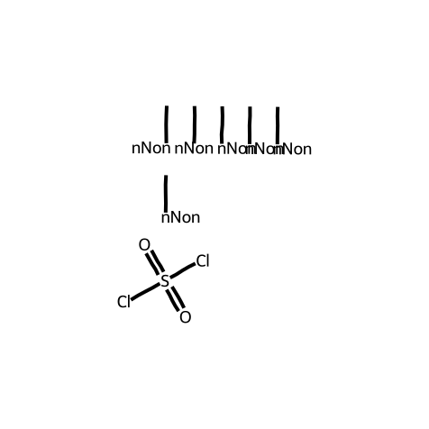 CCCCCCCCCC.CCCCCCCCCC.CCCCCCCCCC.CCCCCCCCCC.CCCCCCCCCC.CCCCCCCCCC.O=S(=O)(Cl)Cl